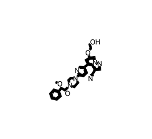 CO[C@H](C(=O)N1CCN(c2ccc(-c3cc(OCCO)cn4ncc(C#N)c34)cn2)CC1)c1ccccc1